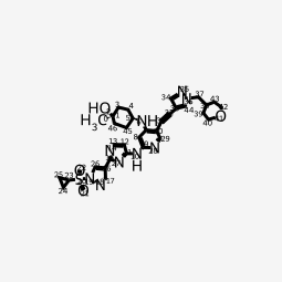 C[C@]1(O)CC[C@@H](Nc2cc(Nc3ccnc(-c4cnn(S(=O)(=O)C5CC5)c4)n3)ncc2C#Cc2cnn(CC3CCOCC3)c2)CC1